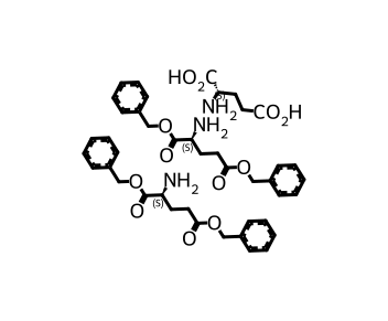 N[C@@H](CCC(=O)O)C(=O)O.N[C@@H](CCC(=O)OCc1ccccc1)C(=O)OCc1ccccc1.N[C@@H](CCC(=O)OCc1ccccc1)C(=O)OCc1ccccc1